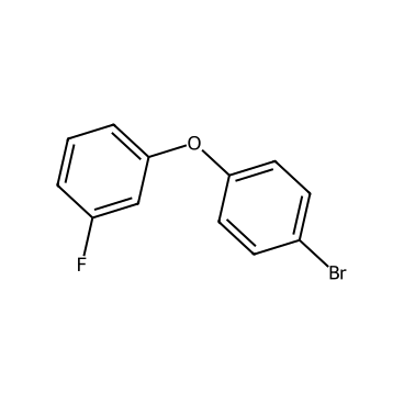 Fc1cccc(Oc2ccc(Br)cc2)c1